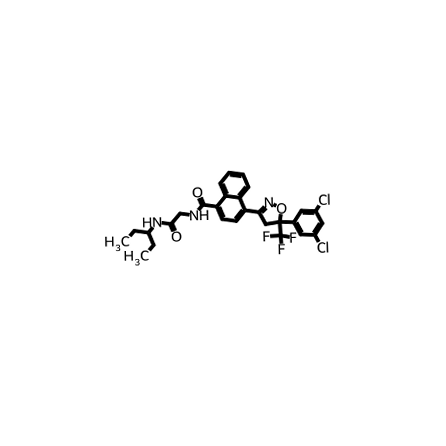 CCC(CC)NC(=O)CNC(=O)c1ccc(C2=NOC(c3cc(Cl)cc(Cl)c3)(C(F)(F)F)C2)c2ccccc12